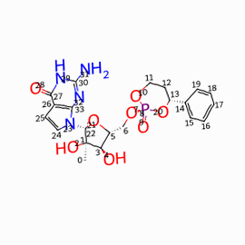 C[C@@]1(O)[C@H](O)[C@@H](CO[P@@]2(=O)OCC[C@H](c3ccccc3)O2)O[C@H]1n1ccc2c(=O)[nH]c(N)nc21